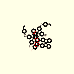 C=Cc1ccc(Oc2ccc(C3(c4ccc(F)cc4F)c4ccccc4-c4ccc(N(c5ccc(F)cc5)c5ccc6c(c5)C5(c7ccccc7-6)c6ccccc6-c6ccc(N(c7ccc(F)cc7)c7ccc8c(c7)C(c7ccc(Oc9ccc(C=C)cc9)cc7)(c7ccc(F)cc7F)c7ccccc7-8)cc65)cc43)cc2)cc1